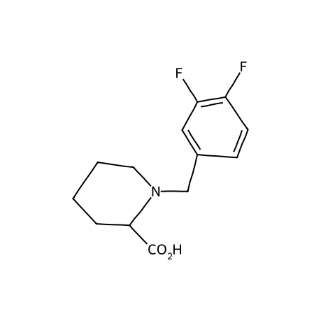 O=C(O)C1CCCCN1Cc1ccc(F)c(F)c1